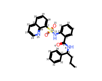 CCCC(NC(=O)c1ccccc1NS(=O)(=O)c1cccc2cccnc12)c1ccccc1